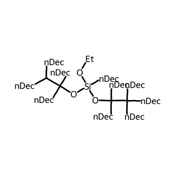 CCCCCCCCCCC(CCCCCCCCCC)C(CCCCCCCCCC)(CCCCCCCCCC)O[Si](CCCCCCCCCC)(OCC)OC(CCCCCCCCCC)(CCCCCCCCCC)C(CCCCCCCCCC)(CCCCCCCCCC)CCCCCCCCCC